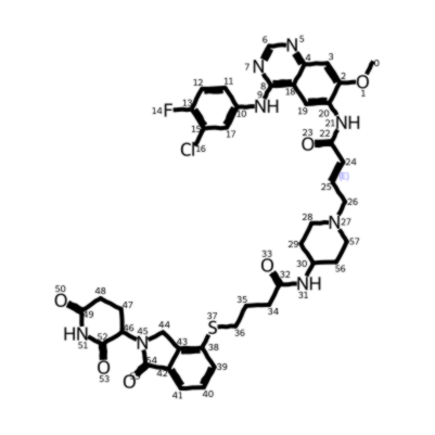 COc1cc2ncnc(Nc3ccc(F)c(Cl)c3)c2cc1NC(=O)/C=C/CN1CCC(NC(=O)CCCSc2cccc3c2CN(C2CCC(=O)NC2=O)C3=O)CC1